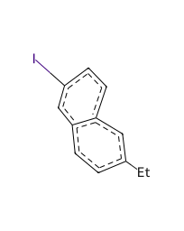 CCc1ccc2cc(I)ccc2c1